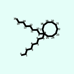 CCCCCCCCC1(CCCCCCCC)CCCCCCCCC1